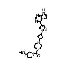 O=C(N1CCN(C2CC(n3cc(-c4ncnc5[nH]ccc45)cn3)C2)CC1)N1CC[C@H](O)C1